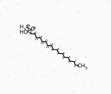 CCCCCCCCCCCCCCCCCCP(C)(=O)O